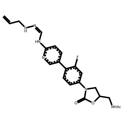 C=CCN/N=C\Nc1ccc(-c2ccc(N3CC(CNC(C)=O)OC3=O)cc2F)cn1